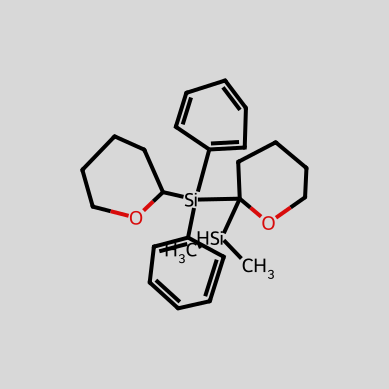 C[SiH](C)C1([Si](c2ccccc2)(c2ccccc2)C2CCCCO2)CCCCO1